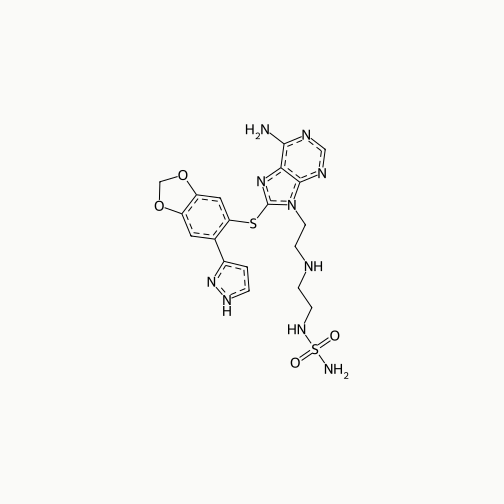 Nc1ncnc2c1nc(Sc1cc3c(cc1-c1cc[nH]n1)OCO3)n2CCNCCNS(N)(=O)=O